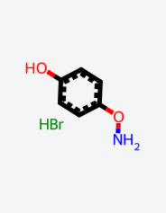 Br.NOc1ccc(O)cc1